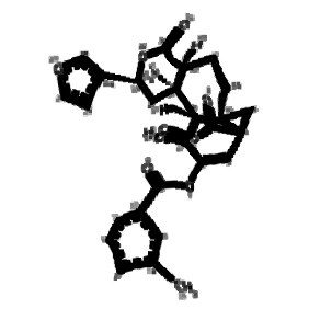 COC(=O)C12C=C(OC(=O)c3cccc(C)c3)C(=O)[C@@H]3[C@@]4(N)C[C@@H](c5ccoc5)OC(=O)[C@@H]4CC[C@]31C2